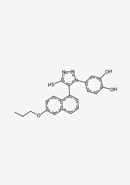 CCCOc1ccc2c(-c3c(S)nnn3-c3ccc(O)c(O)c3)cccc2c1